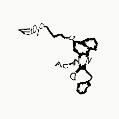 CCOC(=O)CCCCOc1cc2c(nc(Cc3ccccc3)c(=O)n2C(C)=O)c2ccccc12